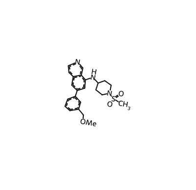 COCc1cccc(-c2cc(NC3CCN(S(C)(=O)=O)CC3)c3cnccc3c2)c1